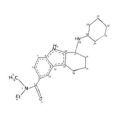 CCN(C)C(=O)c1ccc2[nH]c3c(c2c1)CCCC3NC1CCCCC1